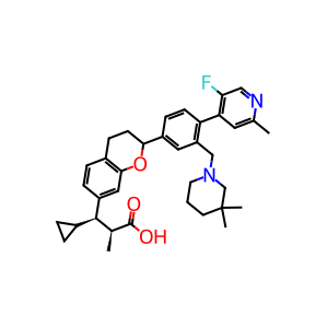 Cc1cc(-c2ccc(C3CCc4ccc([C@H](C5CC5)[C@H](C)C(=O)O)cc4O3)cc2CN2CCCC(C)(C)C2)c(F)cn1